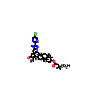 CC(C)C1=C2[C@H]3CC[C@@H]4[C@@]5(C)CC[C@H](OC(=O)CC(C)(C)C(=O)O)C(C)(C)[C@@H]5CC[C@@]4(C)[C@]3(C)CC[C@@]2(Cc2nnc(-c3ncc(Cl)cn3)n2C)CC1=O